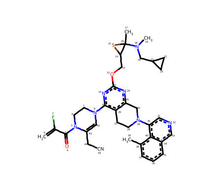 C=C(F)C(=O)N1CCN(c2nc(OCC3SC3(C)N(C)CC3CC3)nc3c2CCN(c2cncc4cccc(C)c24)C3)C=C1CC#N